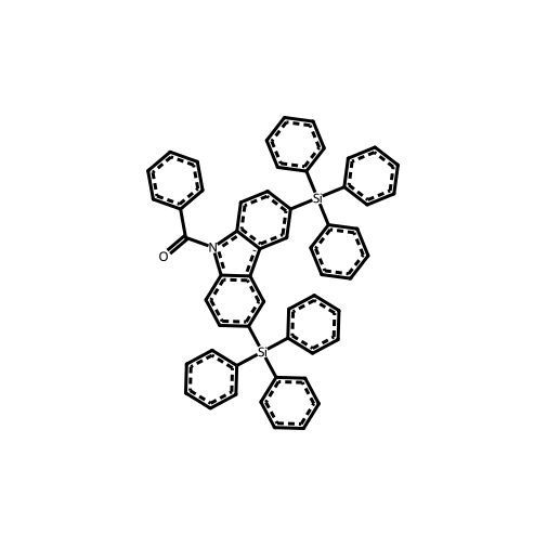 O=C(c1ccccc1)n1c2ccc([Si](c3ccccc3)(c3ccccc3)c3ccccc3)cc2c2cc([Si](c3ccccc3)(c3ccccc3)c3ccccc3)ccc21